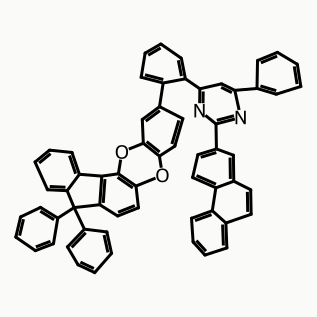 c1ccc(-c2cc(-c3ccccc3-c3ccc4c(c3)Oc3c(ccc5c3-c3ccccc3C5(c3ccccc3)c3ccccc3)O4)nc(-c3ccc4c(ccc5ccccc54)c3)n2)cc1